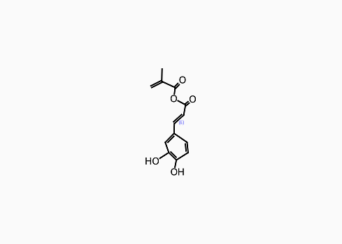 C=C(C)C(=O)OC(=O)/C=C/c1ccc(O)c(O)c1